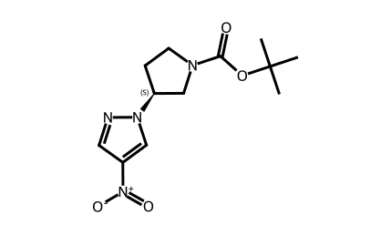 CC(C)(C)OC(=O)N1CC[C@H](n2cc([N+](=O)[O-])cn2)C1